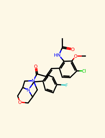 COc1c(Cl)ccc(C=CC(=O)N2CC3COCC(C2)N3Cc2ccc(F)cc2)c1NC(C)=O